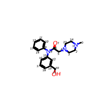 CN1CCN(CC(=O)N(c2ccccc2)c2cccc(CO)c2)CC1